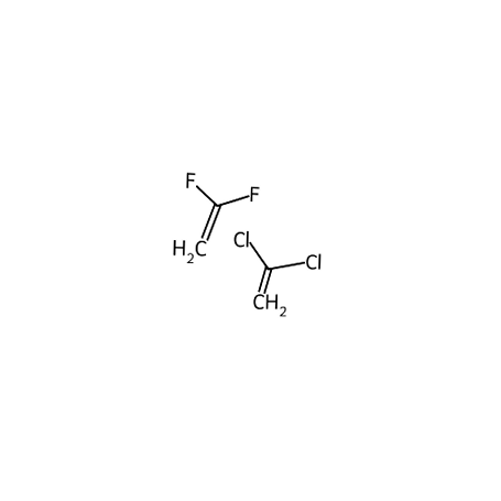 C=C(Cl)Cl.C=C(F)F